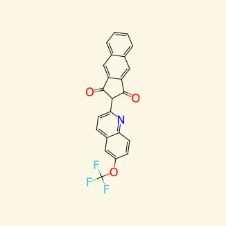 O=C1c2cc3ccccc3cc2C(=O)C1c1ccc2cc(OC(F)(F)F)ccc2n1